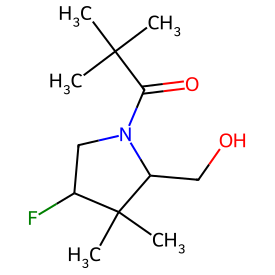 CC(C)(C)C(=O)N1CC(F)C(C)(C)C1CO